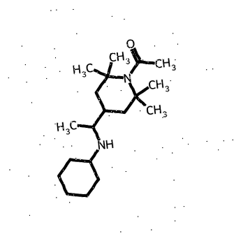 CC(=O)N1C(C)(C)CC(C(C)NC2CCCCC2)CC1(C)C